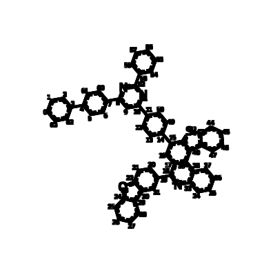 c1ccc(-c2ccc(-c3cc(-c4ccc(-c5cc6c(-c7ccc8oc9ccccc9c8c7)nc7ccccc7c6c6c5sc5ccccc56)cc4)nc(-c4ccccc4)n3)cc2)cc1